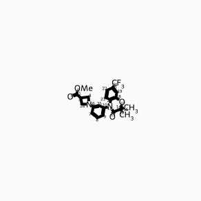 COC(=O)C1CN(c2cccc(N3C(=O)C(C)(C)Oc4cc(C(F)(F)F)ccc43)c2)C1